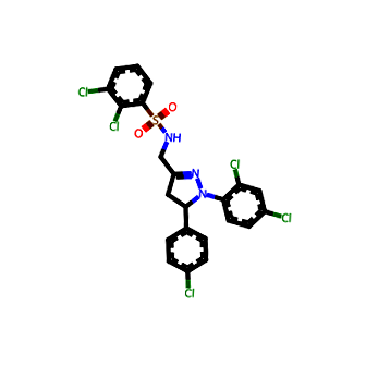 O=S(=O)(NCC1=NN(c2ccc(Cl)cc2Cl)C(c2ccc(Cl)cc2)C1)c1cccc(Cl)c1Cl